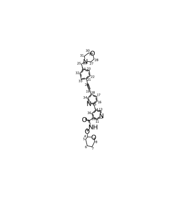 O=C(NOC1CCCCO1)c1cncc(-c2ccc(C#Cc3ccc(CN4CCOCC4)cc3)cn2)c1